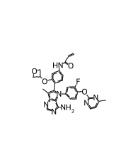 C=CC(=O)Nc1ccc(-c2c(C)c3ncnc(N)c3n2-c2ccc(Oc3nccc(C)n3)c(F)c2)c(OC2COC2)c1